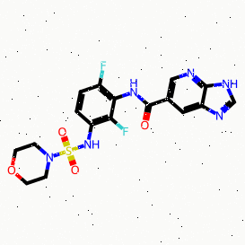 O=C(Nc1c(F)ccc(NS(=O)(=O)N2CCOCC2)c1F)c1cnc2[nH]cnc2c1